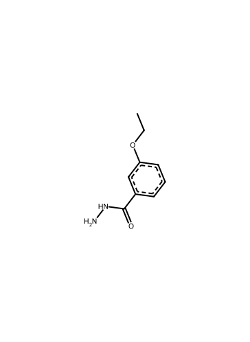 CCOc1cccc(C(=O)NN)c1